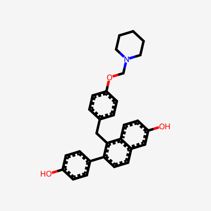 Oc1ccc(-c2ccc3cc(O)ccc3c2Cc2ccc(OCN3CCCCC3)cc2)cc1